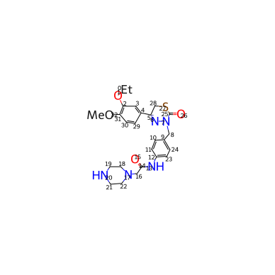 CCOc1cc(C2=NN(Cc3ccc(NC(=O)CN4CCNCC4)cc3)C(=O)SC2)ccc1OC